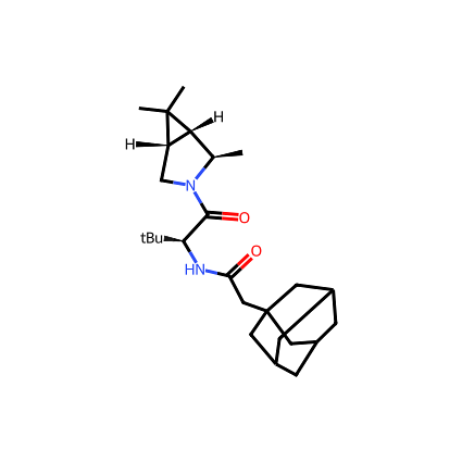 C[C@@H]1[C@@H]2[C@H](CN1C(=O)[C@@H](NC(=O)CC13CC4CC(CC(C4)C1)C3)C(C)(C)C)C2(C)C